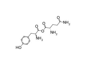 NC(=O)CC[C@H](N)C(=O)OC(=O)[C@@H](N)Cc1ccc(O)cc1